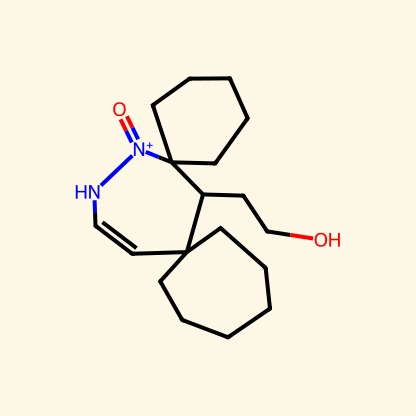 O=[N+]1NC=CC2(CCCCCC2)C(CCO)C12CCCCC2